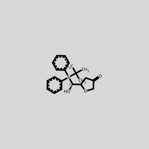 CC(C)(C)[Si](c1ccccc1)(c1ccccc1)[C@H](O)C1CC(=O)CO1